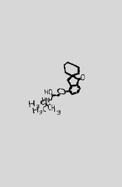 CC(C)(C)NC[C@H](O)COc1cccc2c1CC1(CCCCC1)C2=O